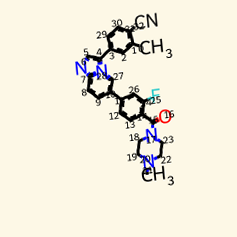 Cc1cc(-c2cnc3ccc(-c4ccc(C(=O)N5CCN(C)CC5)c(F)c4)cn23)ccc1C#N